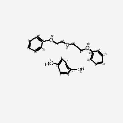 Oc1ccc(O)cc1.c1ccc(OCCOCCOc2ccccc2)cc1